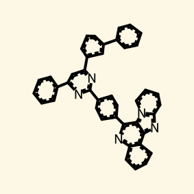 c1ccc(-c2cccc(-c3cc(-c4ccccc4)nc(-c4ccc(-c5nc6ccccc6c6nc7ccccn7c56)cc4)n3)c2)cc1